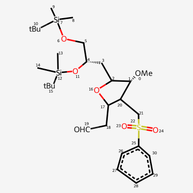 CO[C@H]1C(C[C@@H](CO[Si](C)(C)C(C)(C)C)O[Si](C)(C)C(C)(C)C)OC(CC=O)C1CS(=O)(=O)c1ccccc1